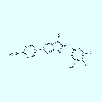 COc1cc(/C=c2\sc3nc(-c4ccc(C#N)cc4)cn3c2=O)cc(Cl)c1O